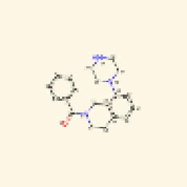 O=C(c1ccccc1)N1CCc2cccc(N3CCNCC3)c2C1